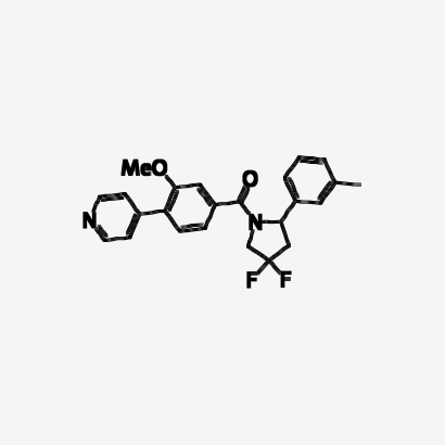 COc1cc(C(=O)N2CC(F)(F)CC2c2cccc(C)c2)ccc1-c1ccncc1